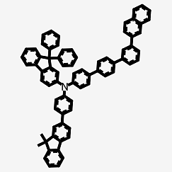 CC1(C)c2ccccc2-c2ccc(-c3ccc(N(c4ccc(-c5ccc(-c6cccc(-c7ccc8ccccc8c7)c6)cc5)cc4)c4ccc5c(c4)C(c4ccccc4)(c4ccccc4)c4ccccc4-5)cc3)cc21